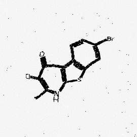 Cc1[nH]c2sc3cc(Br)ccc3c2c(=O)c1Cl